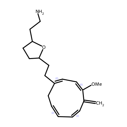 C=C1/C=C\C=C/C/C(CCC2CCC(CCN)O2)=C\C=C/1OC